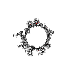 CCCC[C@H]1C(=O)N2CSC[C@@H]2C(=O)N[C@@H](COC=O)C(=O)N[C@@H](C(C)C)C(=O)N(C)[C@@H](Cc2ccccc2)C(=O)N[C@@H](Cc2ccc(O)cc2)C(=O)N2CCC[C@@H]2C(=O)N[C@@H](Cc2c[nH]c3ccccc23)C(=O)N[C@@H](Cc2ccc(O)cc2)C(=O)N[C@@H](CC(C)C)C(=O)N[C@H](C(=O)NCC(N)=O)CSCC(=O)N[C@@H](Cc2ccccc2)C(=O)N(C)[C@@H](Cc2ccccc2)C(=O)N1C